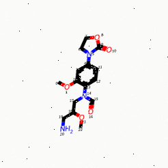 COc1cc(N2CCOC2=O)ccc1N(C=O)CC(CN)OC